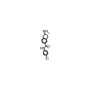 NC1CCc2cc(C(=O)Nc3ccc(Cl)cc3)ccc2C1